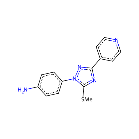 CSc1nc(-c2ccncc2)nn1-c1ccc(N)cc1